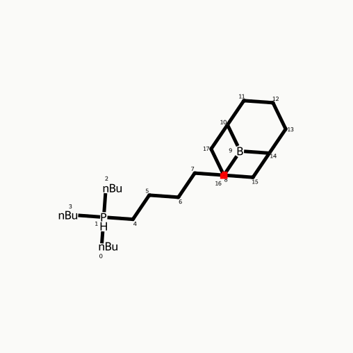 CCCC[PH](CCCC)(CCCC)CCCCCB1C2CCCC1CCC2